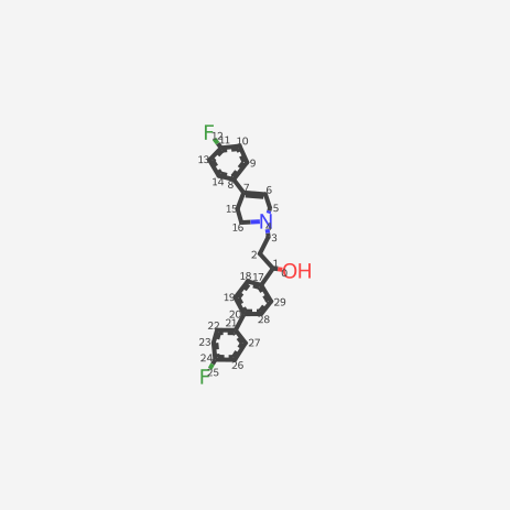 OC(CCN1CC=C(c2ccc(F)cc2)CC1)c1ccc(-c2ccc(F)cc2)cc1